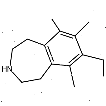 CCc1c(C)c(C)c2c(c1C)CCNCC2